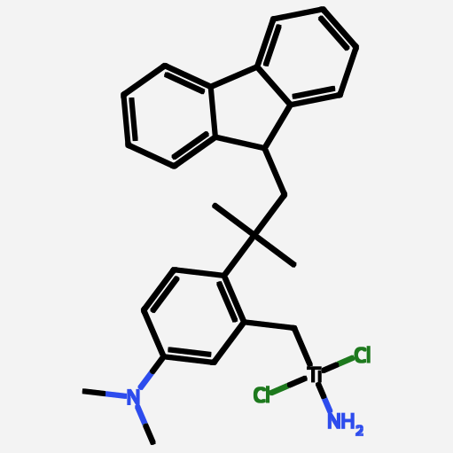 CN(C)c1ccc(C(C)(C)CC2c3ccccc3-c3ccccc32)c([CH2][Ti]([NH2])([Cl])[Cl])c1